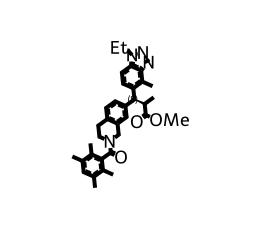 CCn1nnc2c(C)c([C@H](c3ccc4c(c3)CN(C(=O)c3c(C)c(C)cc(C)c3C)CC4)C(C)C(=O)OC)ccc21